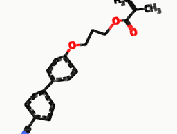 C=C(C)C(=O)OCCCOc1ccc(-c2ccc(C#N)cc2)cc1